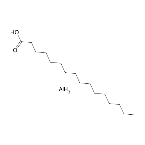 CCCCCCCCCCCCCCCC(=O)O.[AlH3]